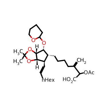 C=C(CCCC[C@@H]1[C@@H](C=CCCCCCC)[C@@H]2OC(C)(C)O[C@@H]2[C@@H]1OC1CCCCO1)C(OC(C)=O)C(=O)O